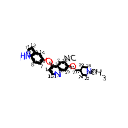 [C-]#[N+]c1cc2c(Oc3ccc4[nH]ccc4c3)ccnc2cc1OCC1CCN(C)CC1